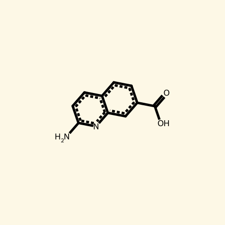 Nc1ccc2ccc(C(=O)O)cc2n1